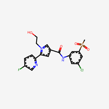 CS(=O)(=O)c1cc(Cl)cc(NC(=O)c2cc(-c3ccc(F)cn3)n(CCO)c2)c1